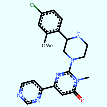 COc1cc(Cl)ccc1C1CN(c2nc(-c3ccncn3)cc(=O)n2C)CCN1